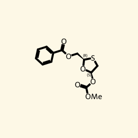 COC(=O)O[C@@H]1CS[C@H](COC(=O)c2ccccc2)O1